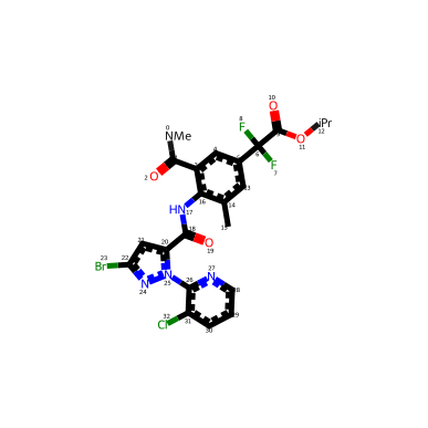 CNC(=O)c1cc(C(F)(F)C(=O)OC(C)C)cc(C)c1NC(=O)c1cc(Br)nn1-c1ncccc1Cl